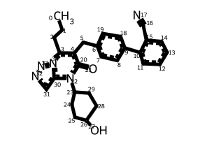 CCCc1c(Cc2ccc(-c3ccccc3C#N)cc2)c(=O)n(C2CCC(O)CC2)c2cnnn12